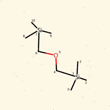 C[Si](C)(C)COC[Si](C)(C)C